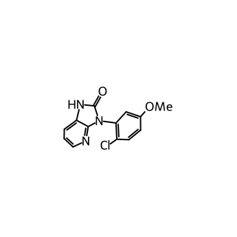 COc1ccc(Cl)c(-n2c(=O)[nH]c3cccnc32)c1